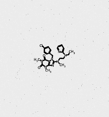 CCN(CCN(C)c1nc2c(c(=O)n(C)c(=O)n2C)n1Cc1ccc(Cl)cc1)c1ccccn1